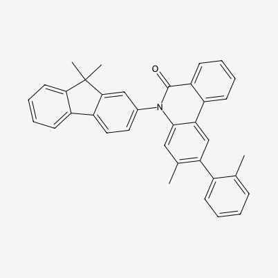 Cc1ccccc1-c1cc2c3ccccc3c(=O)n(-c3ccc4c(c3)C(C)(C)c3ccccc3-4)c2cc1C